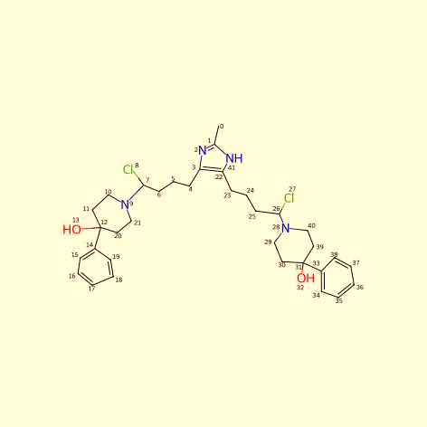 Cc1nc(CCCC(Cl)N2CCC(O)(c3ccccc3)CC2)c(CCCC(Cl)N2CCC(O)(c3ccccc3)CC2)[nH]1